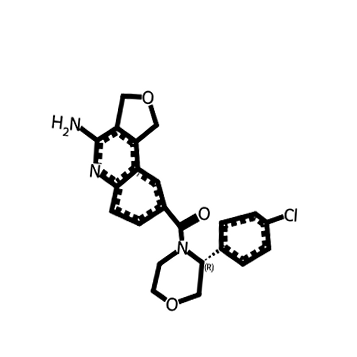 Nc1nc2ccc(C(=O)N3CCOC[C@H]3c3ccc(Cl)cc3)cc2c2c1COC2